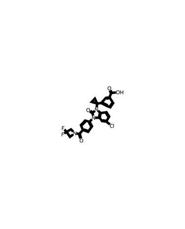 O=C(O)c1cccc(C2(n3c(=O)n(-c4ccc(C(=O)N5CC(F)(F)C5)cc4)c4cc(Cl)ccc43)CC2)c1